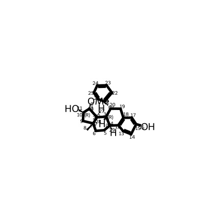 CO[C@@H]1[C@H]2[C@H]3[C@H](CC[C@]2(C)C[C@H]1O)c1ccc(O)cc1C[C@H]3c1ccccc1